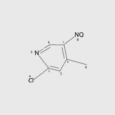 Cc1cc(Cl)ncc1N=O